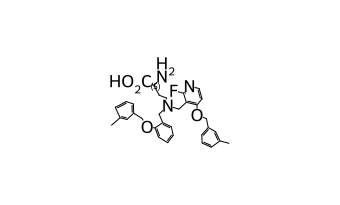 Cc1cccc(COc2ccccc2CN(CC[C@H](N)C(=O)O)Cc2c(OCc3cccc(C)c3)ccnc2F)c1